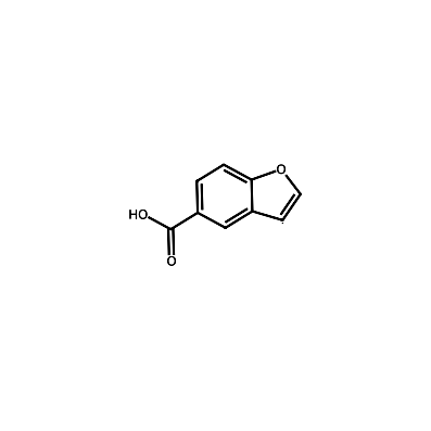 O=C(O)c1ccc2oc[c]c2c1